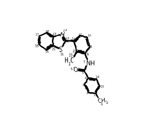 Cc1ccc(C(=O)Nc2cccc(-c3nc4ccccc4s3)c2C)cc1